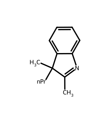 CCCC1(C)C(C)=Nc2ccccc21